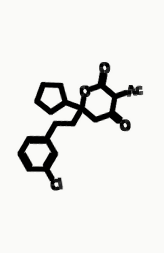 CC(=O)C1C(=O)CC(CCc2cccc(Cl)c2)(C2CCCC2)OC1=O